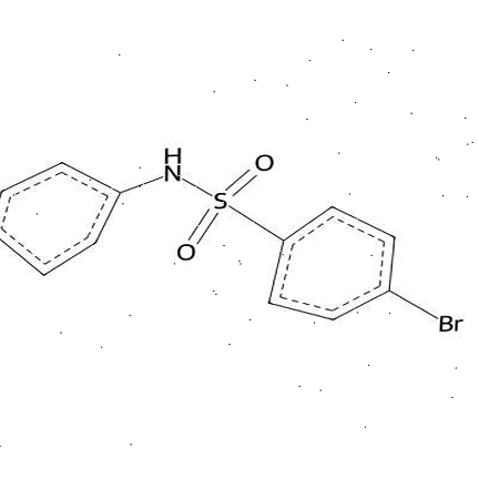 O=S(=O)(Nc1c[c]ccc1)c1ccc(Br)cc1